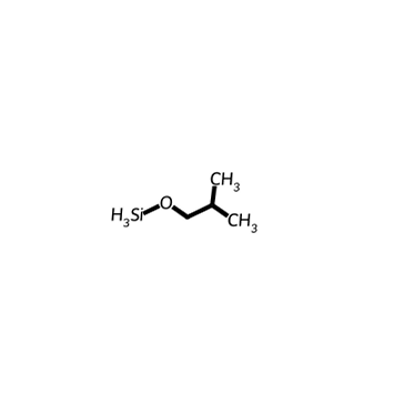 CC(C)CO[SiH3]